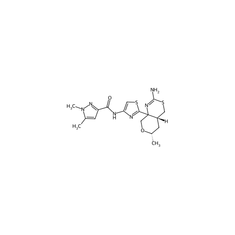 Cc1cc(C(=O)Nc2csc(C34CO[C@@H](C)C[C@H]3CSC(N)=N4)n2)nn1C